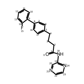 O=C(CCCc1ccc(-c2ccccc2F)cc1)Nc1cnccn1